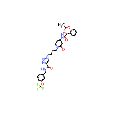 CC(=O)OC(C(=O)Nc1ccn(CCCCn2cc(C(=O)NCc3cccc(OC(F)(F)F)c3)nn2)c(=O)c1)c1ccccc1